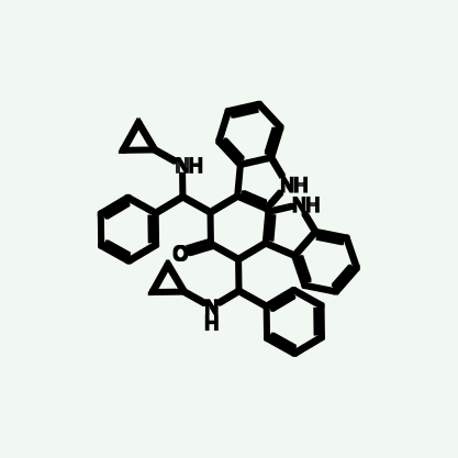 O=C(C(c1c[nH]c2ccccc12)C(NC1CC1)c1ccccc1)C(c1c[nH]c2ccccc12)C(NC1CC1)c1ccccc1